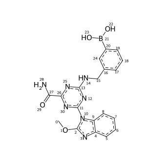 COc1nc2ccccc2n1-c1nc(NCc2cccc(B(O)O)c2)nc(C(N)=O)n1